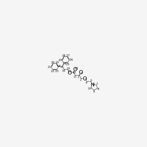 O=C(COCCN1CCCC1)CC(=O)OCCC(c1ccccc1)c1ccccc1